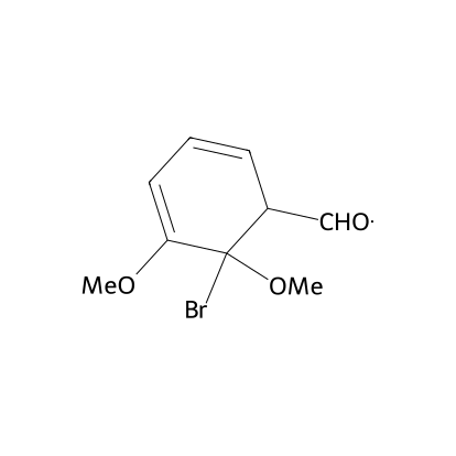 COC1=CC=CC([C]=O)C1(Br)OC